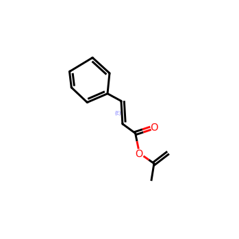 C=C(C)OC(=O)/C=C/c1ccccc1